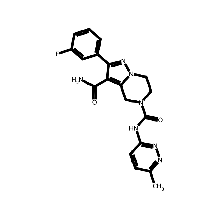 Cc1ccc(NC(=O)N2CCn3nc(-c4cccc(F)c4)c(C(N)=O)c3C2)nn1